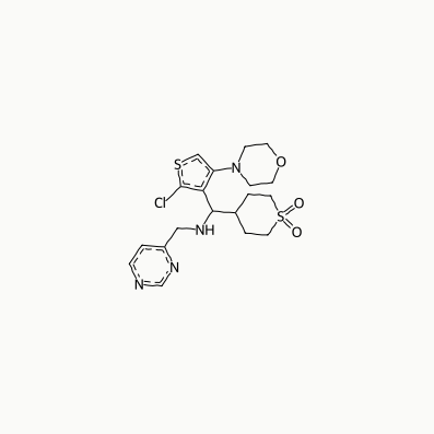 O=S1(=O)CCC(C(NCc2ccncn2)c2c(N3CCOCC3)csc2Cl)CC1